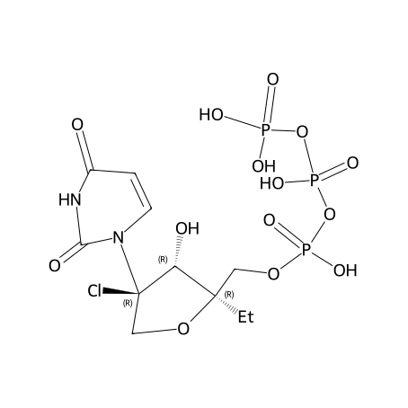 CC[C@]1(COP(=O)(O)OP(=O)(O)OP(=O)(O)O)OC[C@](Cl)(n2ccc(=O)[nH]c2=O)[C@@H]1O